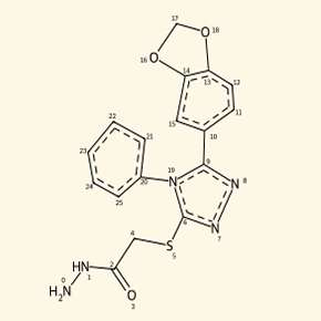 NNC(=O)CSc1nnc(-c2ccc3c(c2)OCO3)n1-c1ccccc1